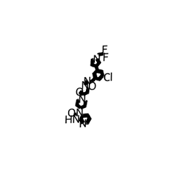 O=C(Cc1nnc(-c2cc(Cl)cc(C3CCN(CC(F)F)C3)c2)o1)N1CCC(n2c(=O)[nH]c3ncccc32)CC1